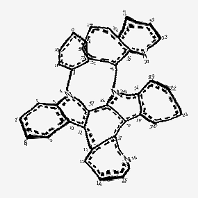 c1ccc(-n2c3ccccc3c3c4cccnc4c4c5ccccc5n(-c5cccc6cccnc56)c4c32)cc1